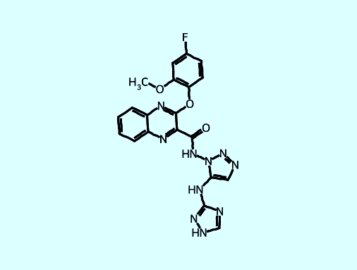 COc1cc(F)ccc1Oc1nc2ccccc2nc1C(=O)Nn1nncc1Nc1nc[nH]n1